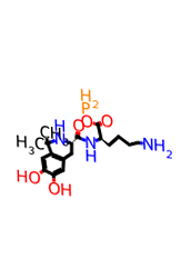 CC1(C)N[C@H](C(=O)N[C@H](CCCCN)C(=O)OP)Cc2cc(O)c(O)cc21